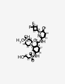 C[Si]1(C)CCN(c2cc(NS(=O)(=O)CCO)ccc2C(=O)Nc2ccc(=O)n(C3CC(F)(F)C3)n2)CC1